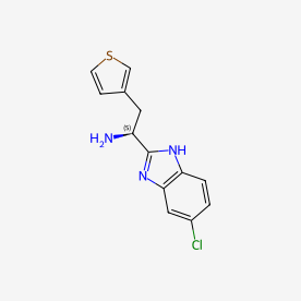 N[C@@H](Cc1ccsc1)c1nc2cc(Cl)ccc2[nH]1